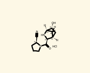 Cl.N#C[C@@H]1CCCN1C(=O)[C@H]1N[C@@H]2[C@H](F)[C@H]1C[C@H]2O